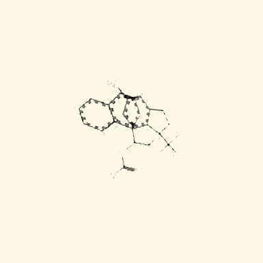 NC(=O)OC(C[C@]1(C(F)(F)F)CCc2cc(Br)ccc21)c1cccc2ccccc12